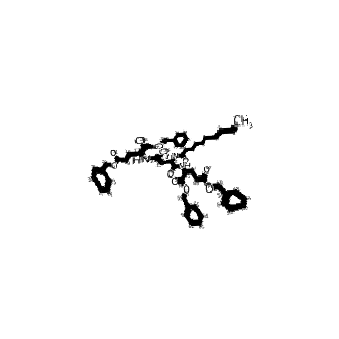 CCCCCCCCCC(=O)NC(CC(=O)NC(CCC(=O)OCc1ccccc1)C(=O)OCc1ccccc1)C(=O)NC(CCC(=O)OCc1ccccc1)C(=O)OCc1ccccc1